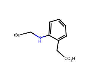 CC(C)(C)CNc1ccccc1CC(=O)O